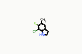 Cc1cc2cc[nH]c2c(Cl)c1F